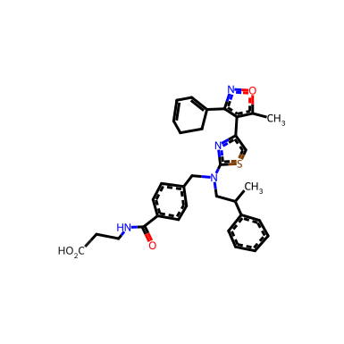 Cc1onc(C2=CC=CCC2)c1-c1csc(N(Cc2ccc(C(=O)NCCC(=O)O)cc2)CC(C)c2ccccc2)n1